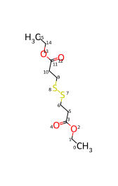 CCOC(=O)CCSSCCC(=O)OCC